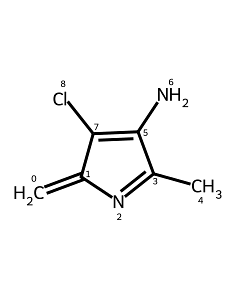 C=C1N=C(C)C(N)=C1Cl